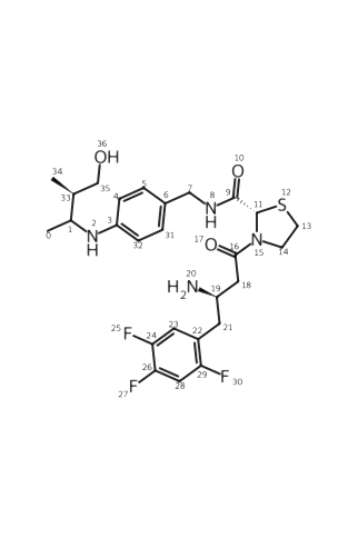 CC(Nc1ccc(CNC(=O)[C@@H]2SCCN2C(=O)C[C@H](N)Cc2cc(F)c(F)cc2F)cc1)[C@@H](C)CO